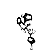 CN1C(=O)C(NCC(=O)c2ccc(Cl)cc2)[N+]([O-])=C(c2ccccc2F)c2ccccc21